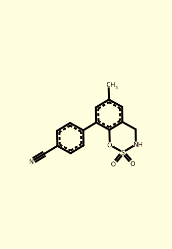 Cc1cc2c(c(-c3ccc(C#N)cc3)c1)OS(=O)(=O)NC2